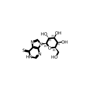 OC[C@H]1O[C@@H](n2cnc3c(=S)[nH]cnc32)[C@H](O)[C@@H](O)[C@H]1O